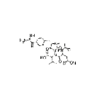 CC(=O)N[C@@H](CC(=O)O)C(=O)N([C@H](C(=O)O)C(C)C)N1C(=O)N[C@@H](Cc2ccc(NC(=N)N)cc2)C1=O